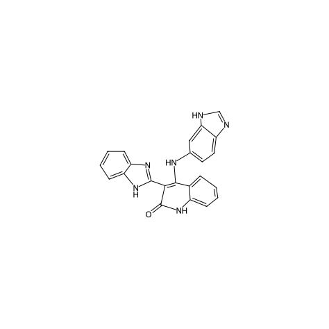 O=c1[nH]c2ccccc2c(Nc2ccc3nc[nH]c3c2)c1-c1nc2ccccc2[nH]1